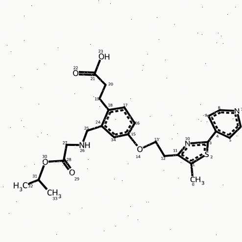 Cc1sc(-c2ccncc2)nc1CCOc1ccc(CCC(=O)O)c(CNCC(=O)OC(C)C)c1